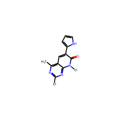 CCc1nc(C)c2cc(-c3ccc[nH]3)c(=O)n(CC)c2n1